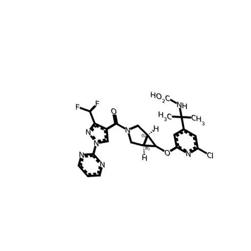 CC(C)(NC(=O)O)c1cc(Cl)nc(OC2[C@H]3CN(C(=O)c4cn(-c5ncccn5)nc4C(F)F)C[C@@H]23)c1